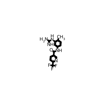 Cc1ccc(NC(=O)c2ccc(C(F)(F)F)nc2)cc1NC(=N)N